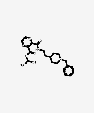 CC(C)OC(=O)c1nccnc1C(=O)NCCC1CCN(Cc2ccccc2)CC1